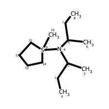 CCC(C)N(C(C)CC)S1(C)CCCC1